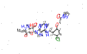 CCCNC(=O)COc1ccc(Cl)cc1CNc1ncnc2c1ncn2[C@@H]1O[C@H](C(=O)NC)[C@@H](N)[C@H]1O